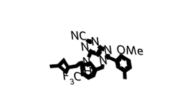 COc1ccc(C)cc1-c1nc2nc(C#N)nc(NCCC3CC(C)C3)c2n1Cc1ccc(C(F)(F)F)cc1